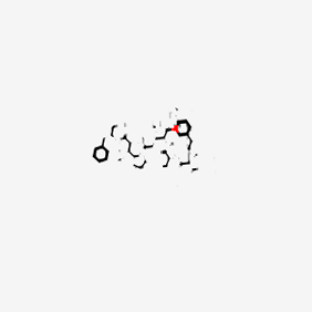 C=C(CC)[C@@H]([C@@H](CC(=O)N1CCC[C@H]1[C@H](OC)[C@@H](C)C(=O)N[C@@H](Cc1ccccc1)C(=O)O)OC)N(C)C(=O)[C@@H](NC(=O)[C@H](C(C)C)N(C)CCc1ccc(NC)cc1)C(C)C